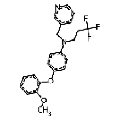 COc1ccccc1Oc1ccc(N(CCC(F)(F)F)Cc2cccnc2)cc1